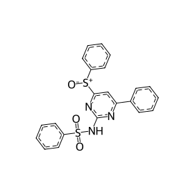 O=S(=O)(Nc1nc(-c2ccccc2)cc([S+]([O-])c2ccccc2)n1)c1ccccc1